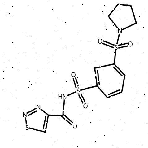 O=C(NS(=O)(=O)c1cccc(S(=O)(=O)N2CCCC2)c1)c1csnn1